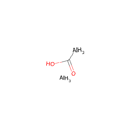 O=[C](O)[AlH2].[AlH3]